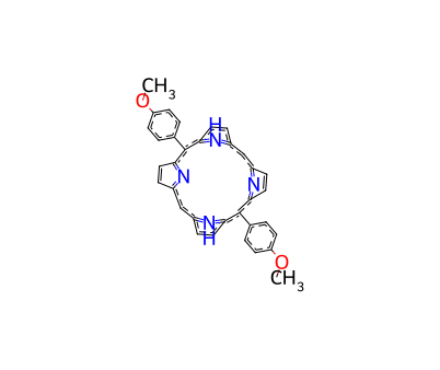 COc1ccc(-c2c3nc(cc4ccc([nH]4)c(-c4ccc(OC)cc4)c4nc(cc5ccc2[nH]5)C=C4)C=C3)cc1